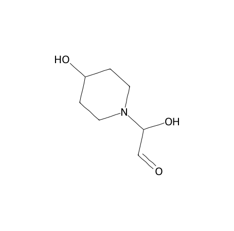 O=CC(O)N1CCC(O)CC1